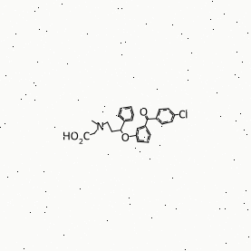 CN(CCC(Oc1cccc(C(=O)c2ccc(Cl)cc2)c1)c1ccccc1)CC(=O)O